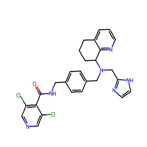 O=C(NCc1ccc(CN(Cc2ncc[nH]2)C2CCCc3cccnc32)cc1)c1c(Cl)cncc1Cl